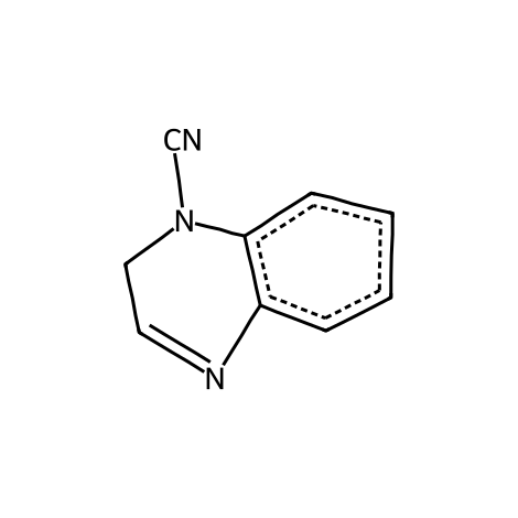 N#CN1CC=Nc2ccccc21